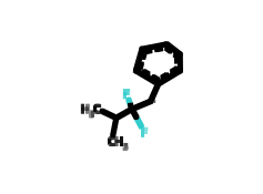 CC(C)C(F)(F)[CH]c1ccccc1